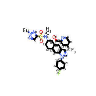 CCn1ncc(S(=O)(=O)N(C)[C@H]2CCC3=Cc4c(cnn4-c4ccc(F)cc4)C[C@]3(C(=O)c3cc(C(F)(F)F)ccn3)C2)n1